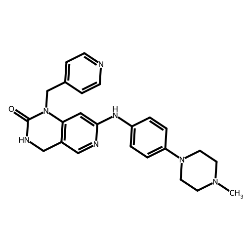 CN1CCN(c2ccc(Nc3cc4c(cn3)CNC(=O)N4Cc3ccncc3)cc2)CC1